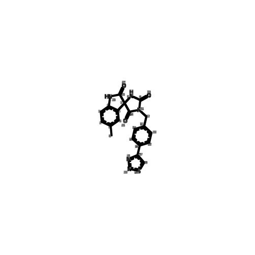 Cc1ccc2c(c1)C1(NC(=O)N(Cc3ccc(-c4csnn4)cc3)C1=O)C(=O)N2